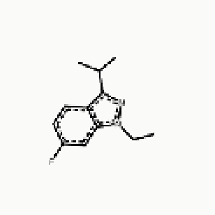 CCn1nc(C(C)C)c2ccc(F)cc21